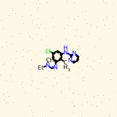 CCN(C)/C=N\c1cc(Cl)cc(Nc2ncccn2)c1C